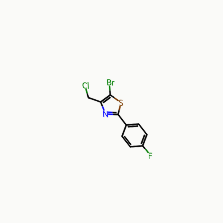 Fc1ccc(-c2nc(CCl)c(Br)s2)cc1